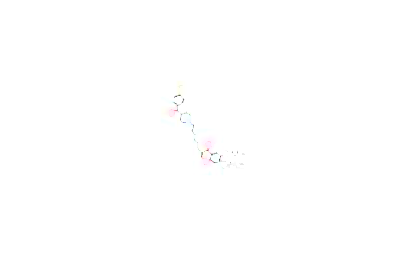 COc1cc2occ(CCCCCCN3CCC(C(=O)c4ccc(F)cc4)CC3)c(=O)c2cc1OC